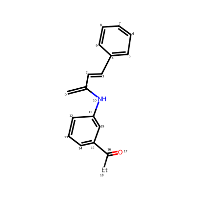 C=C(/C=C/c1ccccc1)Nc1cccc(C(=O)CC)c1